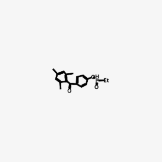 CC[PH](=O)Oc1ccc(C(=O)c2c(C)cc(C)cc2C)cc1